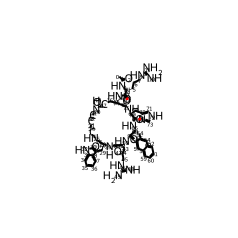 CC(=O)N[C@H](CCCNC(=N)N)C(=O)N[C@H]1CCC(=O)NCCCCNC(=O)[C@H](Cc2c[nH]c3ccccc23)NC(=O)[C@H](CCCNC(=N)N)NC(=O)[C@@H](Cc2ccc3ccccc3c2)NC(=O)[C@H](Cc2c[nH]cn2)NC1=O